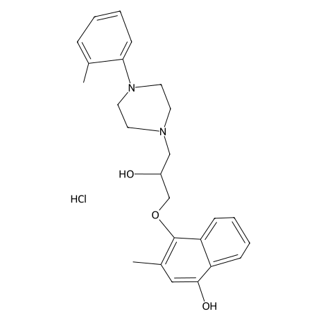 Cc1ccccc1N1CCN(CC(O)COc2c(C)cc(O)c3ccccc23)CC1.Cl